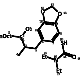 CCCCCCCC[S+]([O-])C(C)Cc1ccc2c(c1)OCO2.CCN(CC)C(=O)S